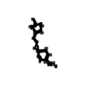 Cc1nc(CCOc2ccc(N)cc2)cs1